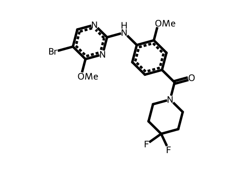 COc1cc(C(=O)N2CCC(F)(F)CC2)ccc1Nc1ncc(Br)c(OC)n1